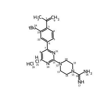 C=C(C)c1ccc(-c2ccnc(N3CCN(C(=N)N)CC3)n2)cc1C(C)(C)C.Cl.Cl